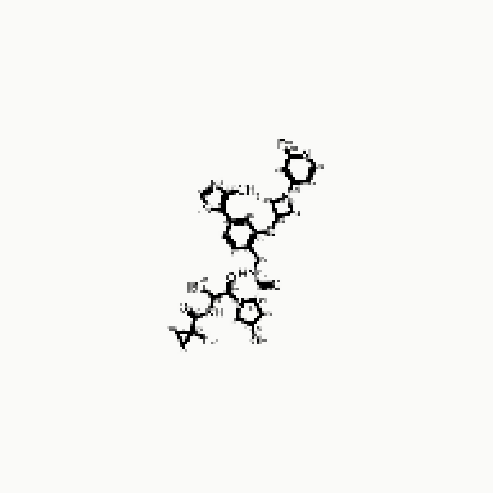 Cc1ncsc1-c1ccc(CNC(=O)[C@@H]2C[C@@H](O)CN2C(=O)C(NC(=O)C2(F)CC2)C(C)(C)C)c(OC2CN(c3ccnc(F)c3)C2)c1